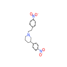 O=[N+]([O-])c1ccc(CCN2CCCC(c3ccc([N+](=O)[O-])cc3)C2)cc1